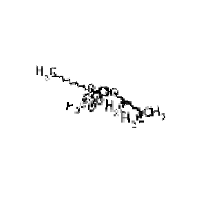 CCCCCCCCCCOc1c(OC)c(=O)oc2cc(OC/C=C(\C)CCC=C(C)C)ccc12